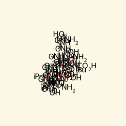 CC[C@H](C)[C@H](NC(=O)[C@H](CCC(N)=O)NC(=O)[C@H](CCC(N)=O)NC(=O)[C@@H]1CCCN1C(=O)[C@H](Cc1ccc(O)cc1)NC(=O)CNC(=O)[C@H](CC(C)C)NC(=O)[C@H](CC(C)C)NC(=O)[C@H](CO)NC(=O)[C@H](CC(N)=O)NC(=O)[C@H](CC(=O)O)NC(=O)[C@@H](NC(=O)[C@H](CO)NC(=O)[C@H](CCC(N)=O)NC(=O)CNC(=O)[C@H](CO)NC(=O)[C@H](CO)NC(=O)CNC(=O)[C@H](CO)NC(=O)[C@@H](N)[C@@H](C)O)[C@@H](C)O)C(=O)O